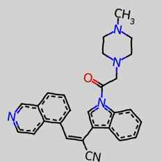 CN1CCN(CC(=O)n2cc(C(C#N)=Cc3cccc4cnccc34)c3ccccc32)CC1